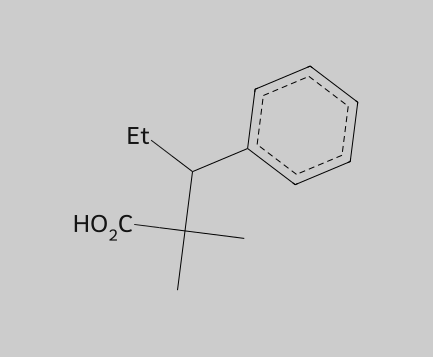 CCC(c1ccccc1)C(C)(C)C(=O)O